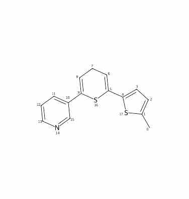 Cc1ccc(C2=CCC=C(c3cccnc3)S2)s1